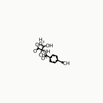 C#Cc1ccc(C(=O)N[C@](C)(C(=O)O)[C@@H](C)O)cc1